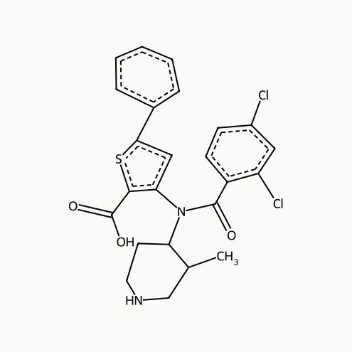 CC1CNCCC1N(C(=O)c1ccc(Cl)cc1Cl)c1cc(-c2ccccc2)sc1C(=O)O